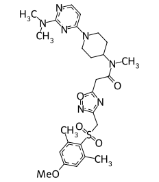 COc1cc(C)c(S(=O)(=O)Cc2noc(CC(=O)N(C)C3CCN(c4ccnc(N(C)C)n4)CC3)n2)c(C)c1